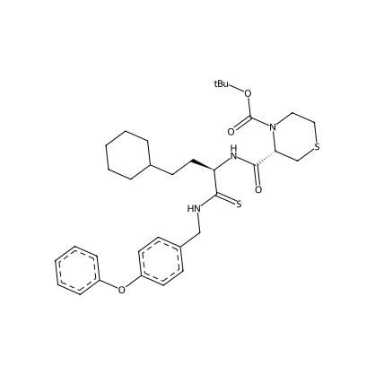 CC(C)(C)OC(=O)N1CCSC[C@@H]1C(=O)N[C@H](CCC1CCCCC1)C(=S)NCc1ccc(Oc2ccccc2)cc1